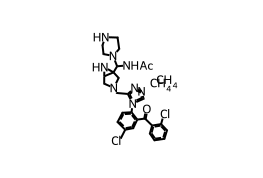 C.C.CC(=O)NC(N1CCNCC1)C12CN(Cc3nncn3-c3ccc(Cl)cc3C(=O)c3ccccc3Cl)CC1N2